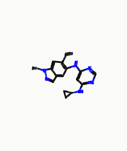 COc1cc2c(cnn2C(C)=O)cc1Nc1cc(NC2CC2)ncn1